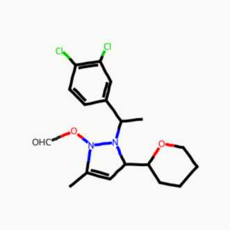 CC1=CC(C2CCCCO2)N(C(C)c2ccc(Cl)c(Cl)c2)N1OC=O